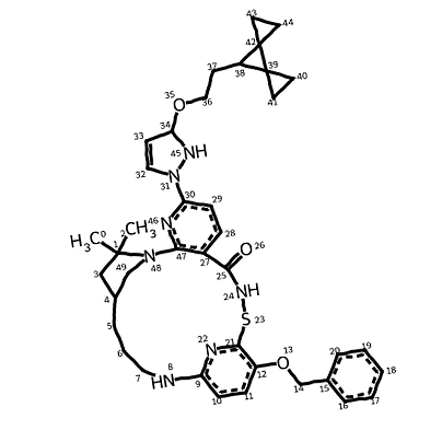 CC1(C)CC2CCCNc3ccc(OCc4ccccc4)c(n3)SNC(=O)c3ccc(N4C=CC(OCCC5C6(CC6)C56CC6)N4)nc3N1C2